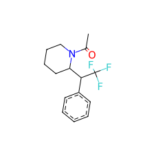 CC(=O)N1CCCCC1C(c1ccccc1)C(F)(F)F